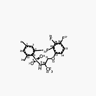 Cc1cc(C)c(S(=O)(=O)NC(COc2ccc(F)c(F)c2F)C(F)(F)F)c(C)c1